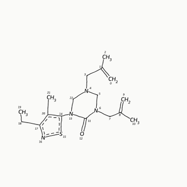 C=C(C)CN1CN(CC(=C)C)C(=O)N(c2snc(CC)c2C)C1